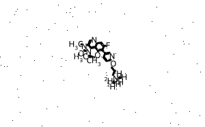 [2H]C([2H])([2H])N(CCCOc1ccc(-c2c(F)cc3ncc4c5c3c2OCC(C)(C)n5c(=O)n4C)cn1)C([2H])([2H])[2H]